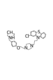 CCNCc1ccc(OCCN2CCN(CCCN3c4ccccc4Sc4ccc(Cl)cc43)CC2)cc1